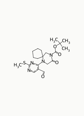 CSc1ncc(C=O)c(N2CC(=O)N(C(=O)OC(C)(C)C)CC23CCCCC3)n1